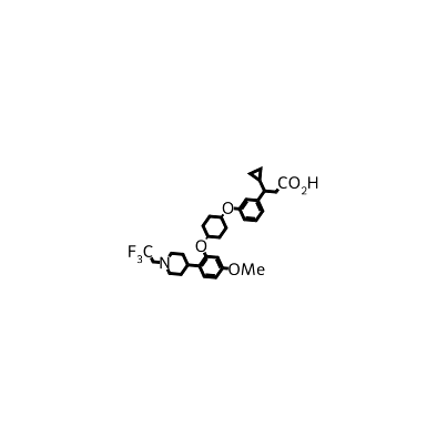 COc1ccc(C2CCN(CC(F)(F)F)CC2)c(O[C@H]2CC[C@H](Oc3cccc(C(CC(=O)O)C4CC4)c3)CC2)c1